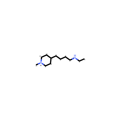 CCNCCCCC1CCN(C)CC1